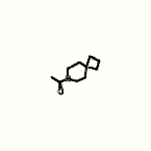 CC(=O)N1CCC2(CCC2)CC1